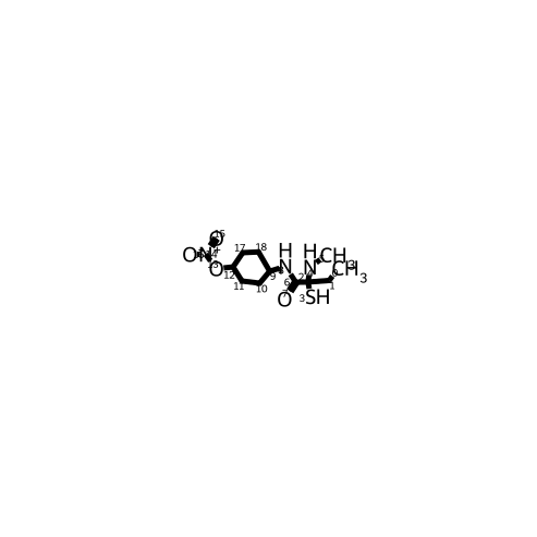 CCC(S)(NC)C(=O)NC1CCC(O[N+](=O)[O-])CC1